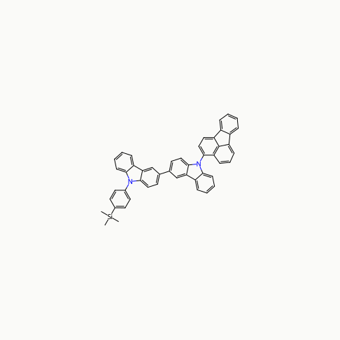 C[Si](C)(C)c1ccc(-n2c3ccccc3c3cc(-c4ccc5c(c4)c4ccccc4n5-c4ccc5c6c(cccc46)-c4ccccc4-5)ccc32)cc1